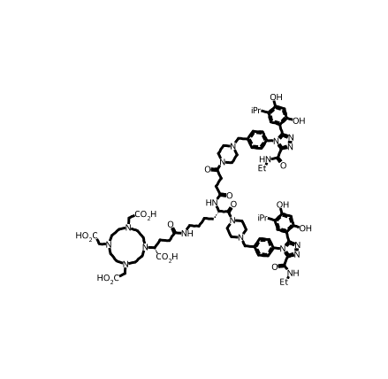 CCNC(=O)c1nnc(-c2cc(C(C)C)c(O)cc2O)n1-c1ccc(CN2CCN(C(=O)CCC(=O)N[C@@H](CCCCNC(=O)CC[C@H](C(=O)O)N3CCN(CC(=O)O)CCN(CC(=O)O)CCN(CC(=O)O)CC3)C(=O)N3CCN(Cc4ccc(-n5c(C(=O)NCC)nnc5-c5cc(C(C)C)c(O)cc5O)cc4)CC3)CC2)cc1